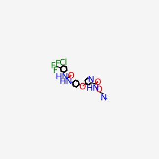 CN(C)CCONC(=O)c1cc(Oc2ccc(NC(=O)Nc3ccc(Cl)c(C(F)(F)F)c3)cc2)ccn1